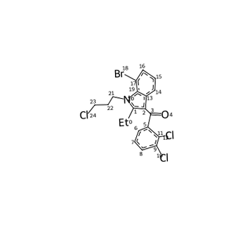 CCc1c(C(=O)c2cccc(Cl)c2Cl)c2cccc(Br)c2n1CCCCl